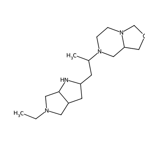 CCN1CC2CC(CC(C)N3CCN4COCC4C3)NC2C1